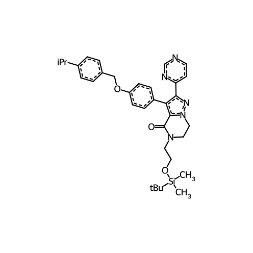 CC(C)c1ccc(COc2ccc(-c3c(-c4ccncn4)nn4c3C(=O)N(CCO[Si](C)(C)C(C)(C)C)CC4)cc2)cc1